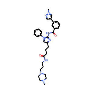 CN1CCN(CCCNC(=O)CCCc2cn(-c3ccccc3)c(NC(=O)c3cccc(-c4cnn(C)c4)c3)n2)CC1